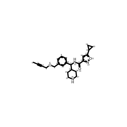 CC#CCOCc1cccc(C(NC(=O)c2cc(C3CC3)on2)C2CCNCC2)c1